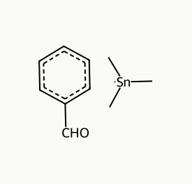 O=Cc1ccccc1.[CH3][Sn]([CH3])[CH3]